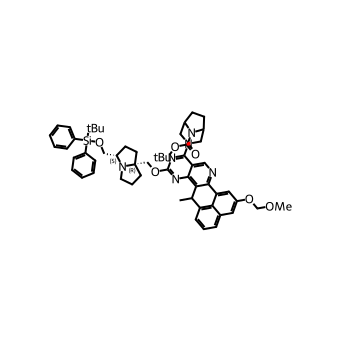 COCOc1cc2c3c(cccc3c1)C(C)c1c-2ncc2c(N3CC4CCC(C3)N4C(=O)OC(C)(C)C)nc(OC[C@]34CCCN3[C@H](CO[Si](c3ccccc3)(c3ccccc3)C(C)(C)C)CC4)nc12